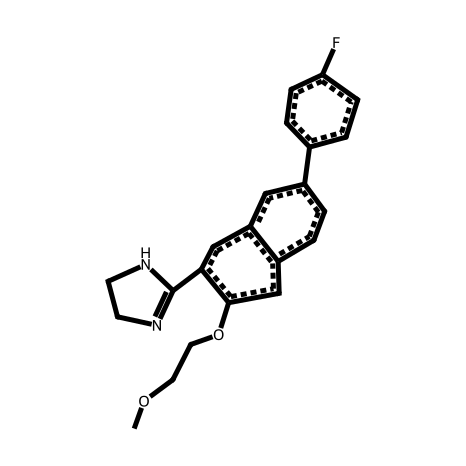 COCCOc1cc2ccc(-c3ccc(F)cc3)cc2cc1C1=NCCN1